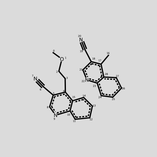 COCCc1c(C#N)cnc2ccccc12.Cc1c(C#N)cnc2ccccc12